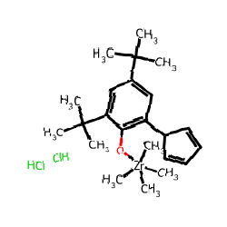 CC(C)(C)c1cc(C2C=CC=C2)c([O][Zr]([CH3])([CH3])([CH3])[CH3])c(C(C)(C)C)c1.Cl.Cl